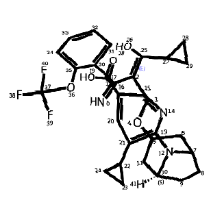 N=C(/C(COC1CC2CC[C@@H](C1)N2c1ncc(C(=O)O)cc1C1CC1)=C(\O)C1CC1)c1ccccc1OC(F)(F)F